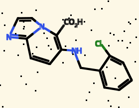 O=C(O)c1c(NCc2ccccc2Cl)ccc2nccn12